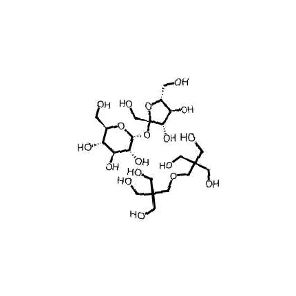 OCC(CO)(CO)COCC(CO)(CO)CO.OC[C@H]1O[C@@](CO)(O[C@H]2O[C@H](CO)[C@@H](O)[C@H](O)[C@H]2O)[C@@H](O)[C@@H]1O